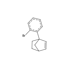 Brc1ccccc1C12C=CC(CC1)C2